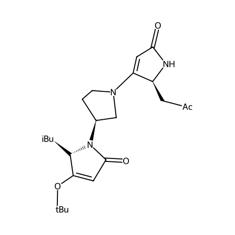 CC[C@H](C)[C@H]1C(OC(C)(C)C)=CC(=O)N1[C@H]1CCN(C2=CC(=O)N[C@H]2CC(C)=O)C1